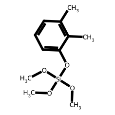 CO[Si](OC)(OC)Oc1cccc(C)c1C